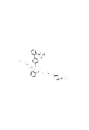 CCOc1nc2cccc(C(=O)OCOC(=O)OCc3cn(C)cn3)c2n1Cc1ccc(-c2ccccc2-c2noc(=O)[nH]2)cc1